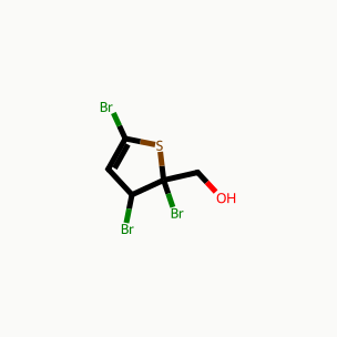 OCC1(Br)SC(Br)=CC1Br